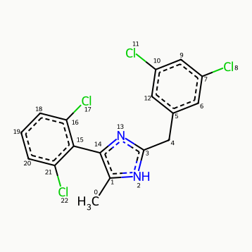 Cc1[nH]c(Cc2cc(Cl)cc(Cl)c2)nc1-c1c(Cl)cccc1Cl